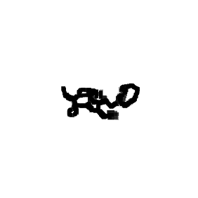 C/C=C(\C#N)C(=O)c1cc(=C/CC)/c(=C\CN2CCCCS2)n1P